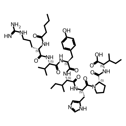 CCCCC(=O)N[C@@H](CCCNC(=N)N)C(=O)N[C@H](C(=O)N[C@@H](Cc1ccc(O)cc1)C(=O)N[C@H](C(=O)N[C@@H](Cc1cnc[nH]1)C(=O)N1CCC[C@H]1C(=O)N[C@H](C(=O)O)C(C)CC)C(C)CC)C(C)C